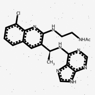 CC(=O)NCCNc1nc2c(Cl)cccc2cc1[C@H](C)Nc1ncnc2[nH]cnc12